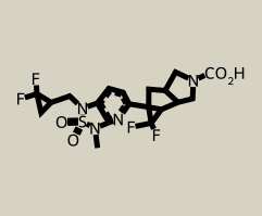 CN1c2nc(C34CC5CN(C(=O)O)CC5C3C4(F)F)ccc2N(CC2CC2(F)F)S1(=O)=O